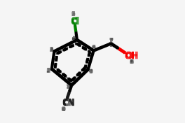 N#Cc1ccc(Cl)c([CH]O)c1